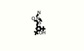 CC(C)(C)c1cc(C=C2SC=CN(CC#N)C2C=O)cc(C(C)(C)C)c1O